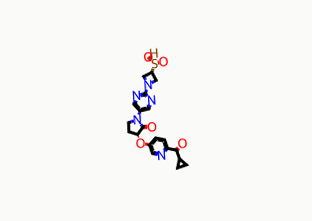 O=C(c1ccc(O[C@@H]2CCN(c3cnc(N4CC([SH](=O)=O)C4)nc3)C2=O)cn1)C1CC1